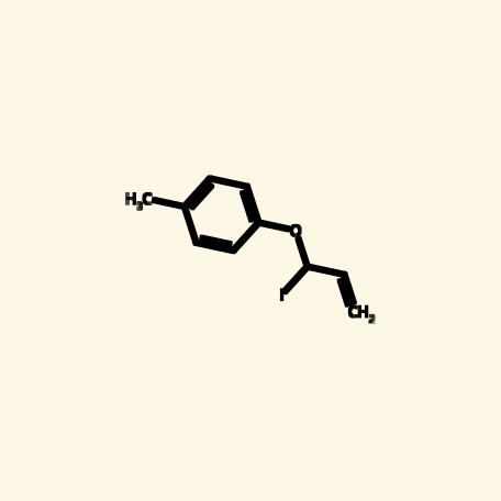 C=CC(I)Oc1ccc(C)cc1